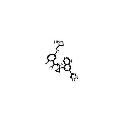 Cc1ccc(OCC2CCN2)cc1C(=O)NC1(c2cc(-c3cnoc3)cc3ncccc23)CC1